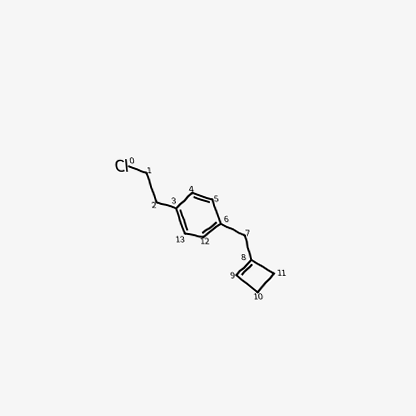 ClCCc1ccc(CC2=CCC2)cc1